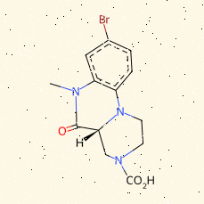 CN1C(=O)[C@H]2CN(C(=O)O)CCN2c2ccc(Br)cc21